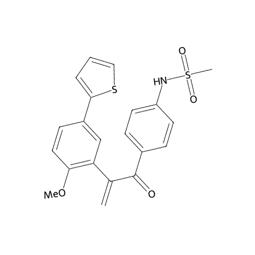 C=C(C(=O)c1ccc(NS(C)(=O)=O)cc1)c1cc(-c2cccs2)ccc1OC